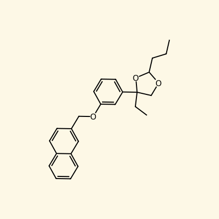 CCCC1OCC(CC)(c2cccc(OCc3ccc4ccccc4c3)c2)O1